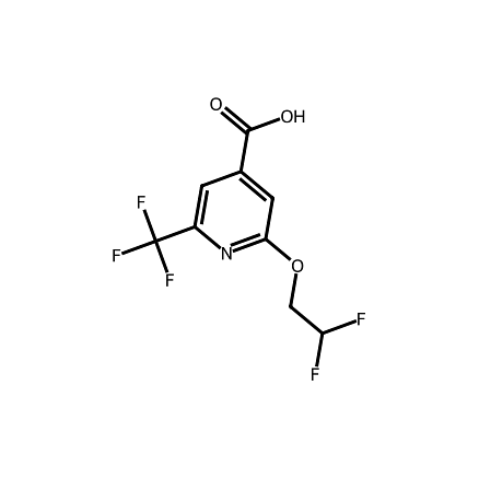 O=C(O)c1cc(OCC(F)F)nc(C(F)(F)F)c1